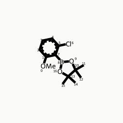 COc1cccc(Cl)c1B1OC(C)(C)C(C)(C)O1